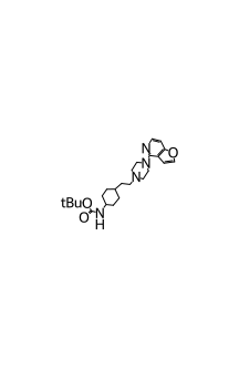 CC(C)(C)OC(=O)NC1CCC(CCN2CCN(c3nccc4occc34)CC2)CC1